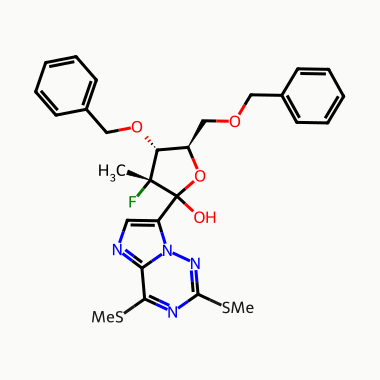 CSc1nc(SC)c2ncc(C3(O)O[C@H](COCc4ccccc4)[C@@H](OCc4ccccc4)[C@@]3(C)F)n2n1